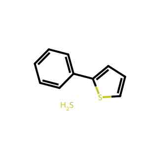 S.c1ccc(-c2cccs2)cc1